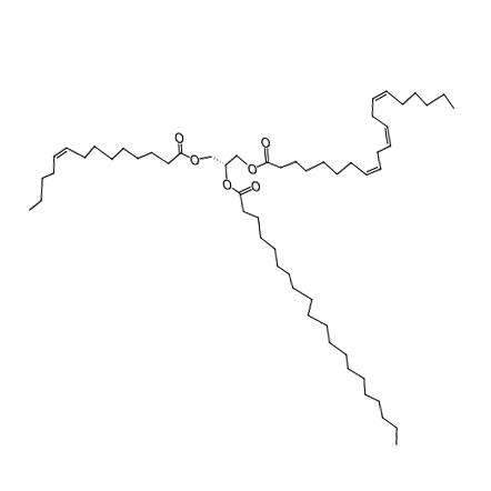 CCCC/C=C\CCCCCCCC(=O)OC[C@H](COC(=O)CCCCCC/C=C\C/C=C\C/C=C\CCCCC)OC(=O)CCCCCCCCCCCCCCCCCCC